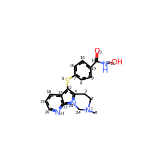 CN1CCc2c(Sc3ccc(C(=O)NO)cc3)c3cccnc3n2C1